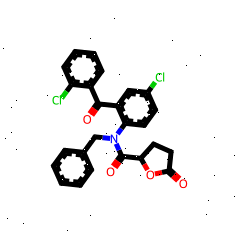 O=C1CCC(C(=O)N(Cc2ccccc2)c2ccc(Cl)cc2C(=O)c2ccccc2Cl)O1